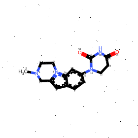 CN1CCn2c(cc3ccc(N4CCC(=O)NC4=O)cc32)C1